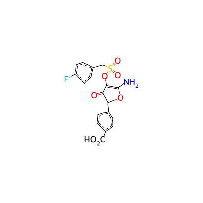 NC1=C(OS(=O)(=O)Cc2ccc(F)cc2)C(=O)C(c2ccc(C(=O)O)cc2)O1